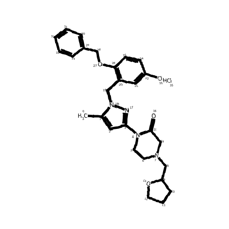 Cc1cc(N2CCN(CC3CCCO3)CC2=O)nn1Cc1cc(Cl)ccc1OCc1ccccc1.Cl